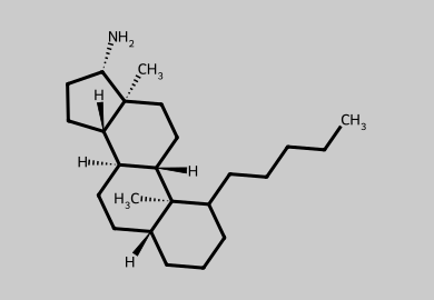 CCCCCC1CCC[C@@H]2CC[C@H]3[C@@H]4CC[C@H](N)[C@@]4(C)CC[C@@H]3[C@@]12C